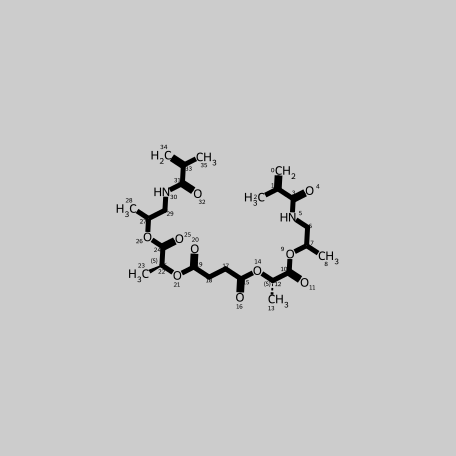 C=C(C)C(=O)NCC(C)OC(=O)[C@H](C)OC(=O)CCC(=O)O[C@@H](C)C(=O)OC(C)CNC(=O)C(=C)C